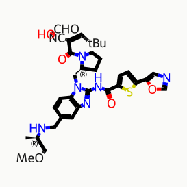 COC[C@@H](C)NCc1ccc2c(c1)nc(NC(=O)c1ccc(-c3cnco3)s1)n2C[C@H]1CCCN1C(=O)C(C#N)=CC(C)(C)C.O=CO